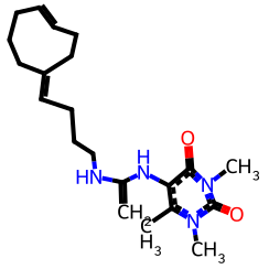 C=C(NCCC/C=C1\CC/C=C/CCC1)Nc1c(C)n(C)c(=O)n(C)c1=O